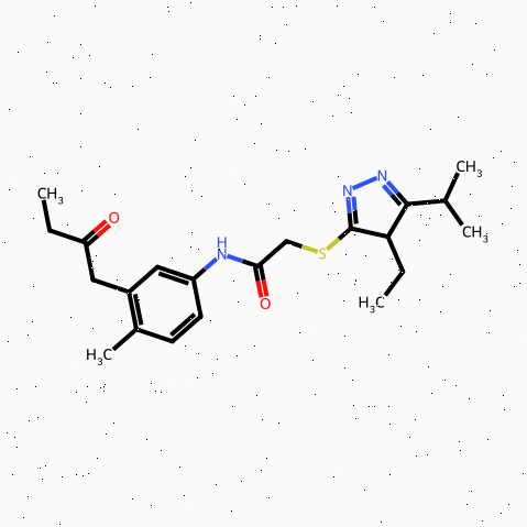 CCC(=O)Cc1cc(NC(=O)CSC2=NN=C(C(C)C)C2CC)ccc1C